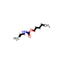 C=CCNC(=O)OCCCCC